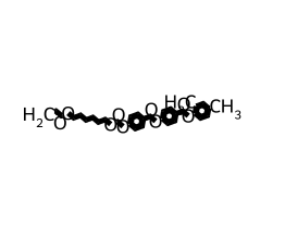 C=CC(=O)OCCCCCCOC(=O)Oc1ccc(C(=O)Oc2ccc(C(=O)Oc3ccc(C)cc3C)cc2)cc1